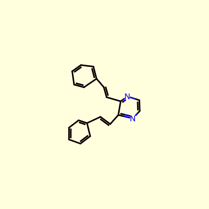 C(=Cc1nccnc1C=Cc1ccccc1)c1ccccc1